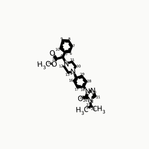 COC(=O)C(c1ccccc1)N1CCN(c2ccc(-n3ncn(C(C)C)c3=O)cc2)CC1